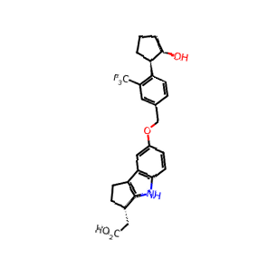 O=C(O)C[C@@H]1CCc2c1[nH]c1ccc(OCc3ccc([C@H]4CCC[C@H]4O)c(C(F)(F)F)c3)cc21